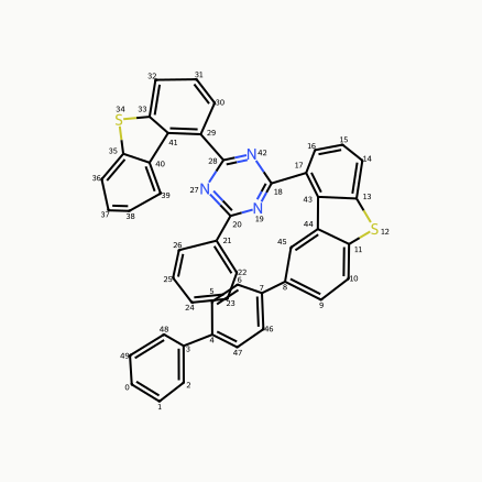 c1ccc(-c2ccc(-c3ccc4sc5cccc(-c6nc(-c7ccccc7)nc(-c7cccc8sc9ccccc9c78)n6)c5c4c3)cc2)cc1